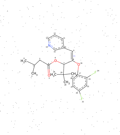 CC(C)CC(=O)OC(/C(=C\c1cccnc1)Oc1ccc(F)cc1F)C(C)(C)C